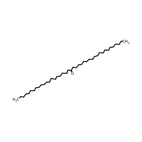 CCCCCCCCCCCCCCCCCCCCC(=O)CCCCCCCCCCCCCCCCCCCC